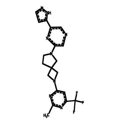 Cc1nc(N2CC3(CCN(c4cncc(-c5ccn[nH]5)n4)C3)C2)cc(C(F)(F)F)n1